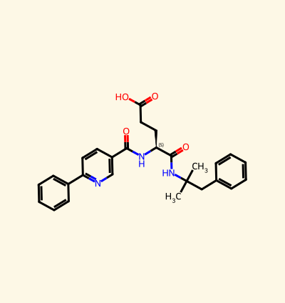 CC(C)(Cc1ccccc1)NC(=O)[C@H](CCC(=O)O)NC(=O)c1ccc(-c2ccccc2)nc1